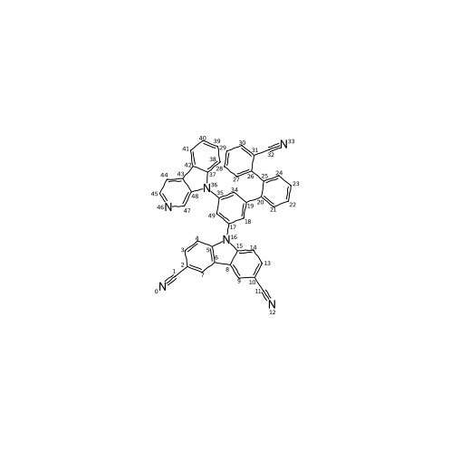 N#Cc1ccc2c(c1)c1cc(C#N)ccc1n2-c1cc(-c2ccccc2-c2ccccc2C#N)cc(-n2c3ccccc3c3ccncc32)c1